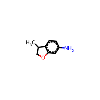 CC1COc2cc(N)ccc21